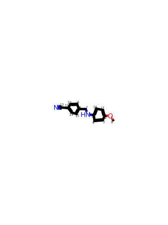 COc1ccc(NCc2ccc(C#N)cc2)cc1